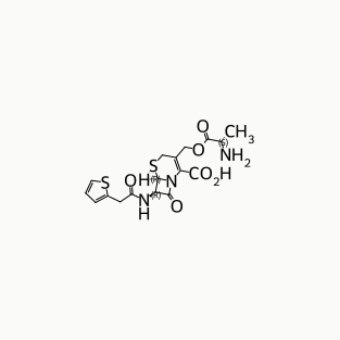 C[C@H](N)C(=O)OCC1=C(C(=O)O)N2C(=O)[C@@H](NC(=O)Cc3cccs3)[C@H]2SC1